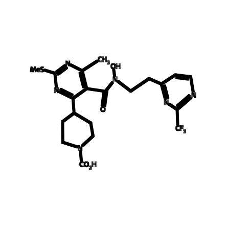 CSc1nc(C)c(C(=O)N(O)CCc2ccnc(C(F)(F)F)n2)c(C2CCN(C(=O)O)CC2)n1